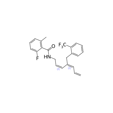 C=C/C=C(\C=C/CNC(=O)c1c(C)cccc1F)Cc1ccccc1C(F)(F)F